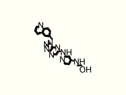 OCCNc1ccnc(Nc2cnc3nnn(Cc4ccc5ncccc5c4)c3n2)c1